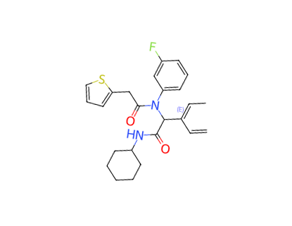 C=C/C(=C\C)C(C(=O)NC1CCCCC1)N(C(=O)Cc1cccs1)c1cccc(F)c1